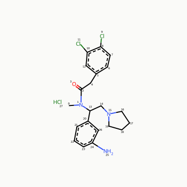 CN(C(=O)Cc1ccc(Cl)c(Cl)c1)C(CN1CCCC1)c1cccc(N)c1.Cl